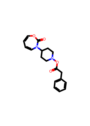 O=C(Cc1ccccc1)ON1CCC(N2C=CC=COC2=O)CC1